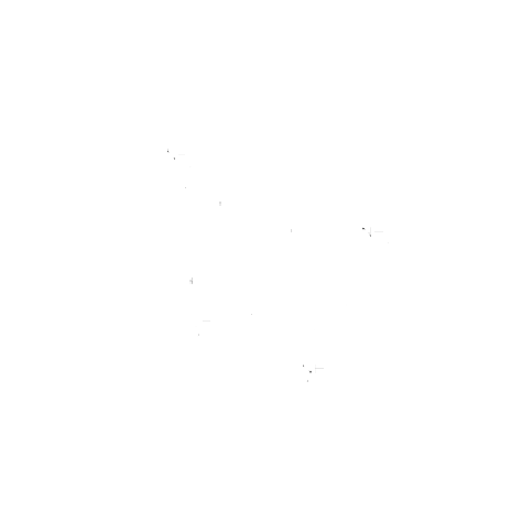 Nc1cc(N)cc(-c2cc(N)ccc2O)c1